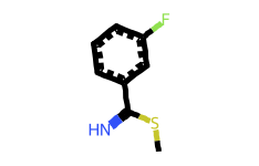 CSC(=N)c1cccc(F)c1